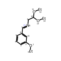 CCOc1cccc(/C=N/CC(OCC)OCC)c1